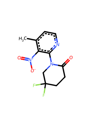 Cc1ccnc(N2CC(F)(F)CCC2=O)c1[N+](=O)[O-]